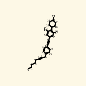 CCCCCC#CCc1ccc(C#Cc2cc(F)c(C3CCC(C)CC3)c(F)c2)cc1